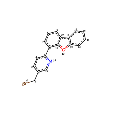 BrCc1ccc(-c2cccc3c2oc2ccccc23)nc1